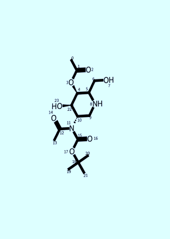 CC(=O)O[C@H]1C(CO)NC[C@H](N(C(C)=O)C(=O)OC(C)(C)C)[C@H]1O